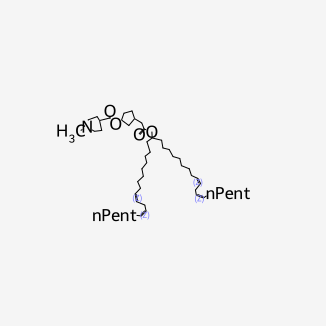 CCCCC/C=C\C/C=C\CCCCCCCCC(CCCCCCCC/C=C\C/C=C\CCCCC)OC(=O)CC1CCC(OC(=O)C2CCN(C)CC2)C1